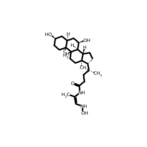 C/C(=C/NO)NC(=O)CC[C@@H](C)[C@H]1CC[C@H]2[C@@H]3[C@H](O)C[C@@H]4C[C@H](O)CC[C@]4(C)[C@H]3CC[C@]12C